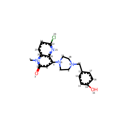 Cn1c(=O)cc(N2CCN(Cc3ccc(O)cc3)CC2)c2nc(Cl)ccc21